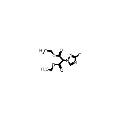 CCOC(=O)C(C(=O)OCC)n1cnc(Cl)n1